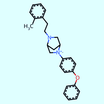 Cc1ccccc1CCN1CC2CC1C[N+]2c1ccc(Oc2ccccc2)cc1